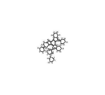 c1ccc(-c2cc(-c3ccccc3)nc(-n3c4ccccc4c4c5c(c6ccccc6n5-c5ccccc5)c5sc6ccccc6c5c43)n2)cc1